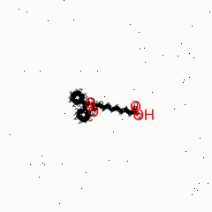 O=C(O)CCCCCCCCC(=O)OC(c1ccccc1)c1ccccc1